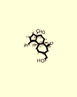 CC(C)C1=C2[C@@H]3CC=C(CO)CC(=O)[C@@]3(C)CC[C@]2(C=O)CC1